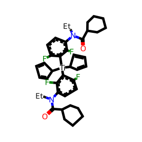 CCN(C(=O)C1CCCCC1)c1ccc(F)[c]([Ti]([c]2c(F)ccc(N(CC)C(=O)C3CCCCC3)c2F)([CH]2C=CC=C2)[CH]2C=CC=C2)c1F